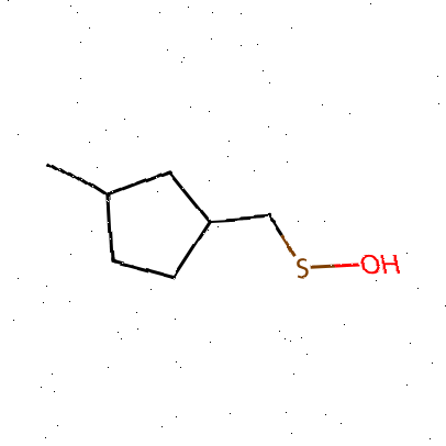 CC1CCC(CSO)C1